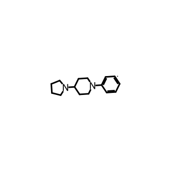 [c]1cccc(N2CCC(N3CCCC3)CC2)c1